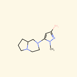 Bc1cc(N2CCN3CCCC3C2)n(C)n1